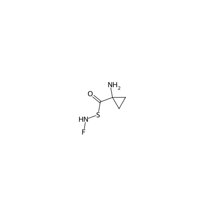 NC1(C(=O)SNF)CC1